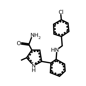 Cc1[nH]c(-c2ccccc2NCc2ccc(Cl)cc2)cc1C(N)=O